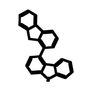 c1ccc2c(c1)Cc1c-2cccc1-c1cccc2sc3ccccc3c12